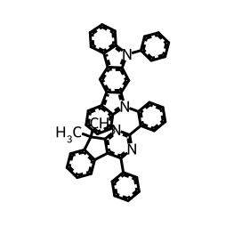 CC1(C)c2ccccc2-c2c(-c3ccccc3)nc(-c3ccccc3-n3c4ccccc4c4cc5c6ccccc6n(-c6ccccc6)c5cc43)nc21